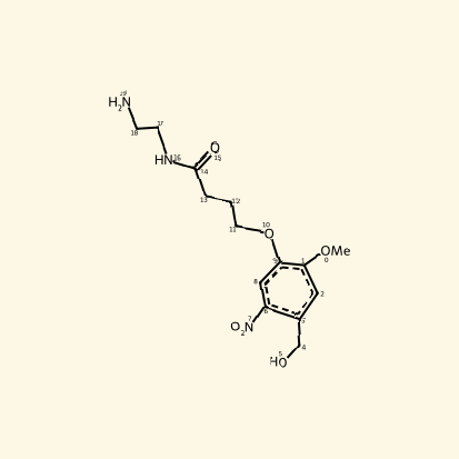 COc1cc(CO)c([N+](=O)[O-])cc1OCCCC(=O)NCCN